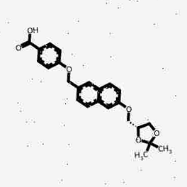 CC1(C)OC[C@@H](COc2ccc3cc(COc4ccc(C(=O)O)cc4)ccc3c2)O1